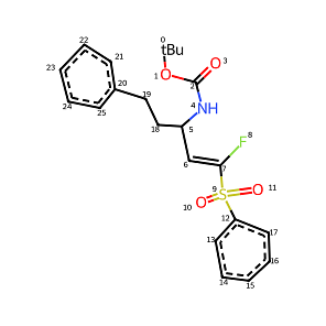 CC(C)(C)OC(=O)NC(C=C(F)S(=O)(=O)c1ccccc1)CCc1ccccc1